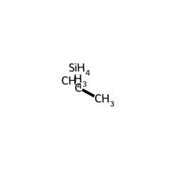 C.CC.[SiH4]